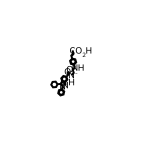 C[C@H](NC(=O)c1ccc2c(C3CCCCC3)n(-c3ccccc3)nc2c1)C(=O)Nc1ccc(/C=C/C(=O)O)cc1